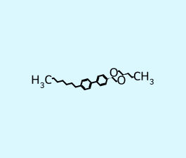 CCCCCCCc1ccc(-c2ccc([C@H]3CO[C@H](CCC)CO3)cc2)cc1